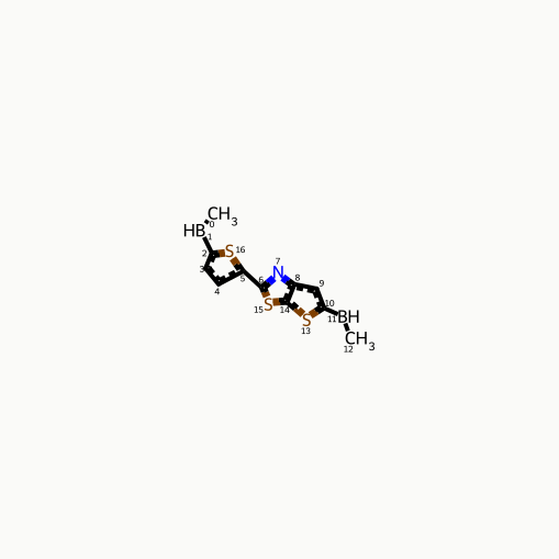 CBc1ccc(-c2nc3cc(BC)sc3s2)s1